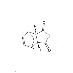 O=C1OC(=O)[C@H]2C3C=CC(CC3)[C@@H]12